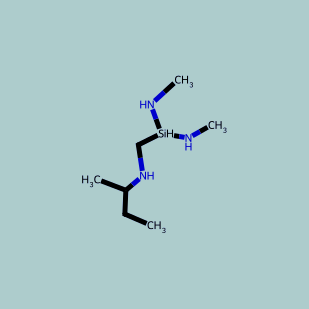 CCC(C)NC[SiH](NC)NC